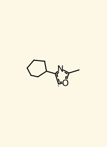 Cc1nc(C2CCCCC2)[c]o1